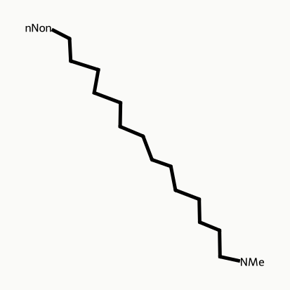 CCCCCCCCCCCCCCCCCCCCCCCNC